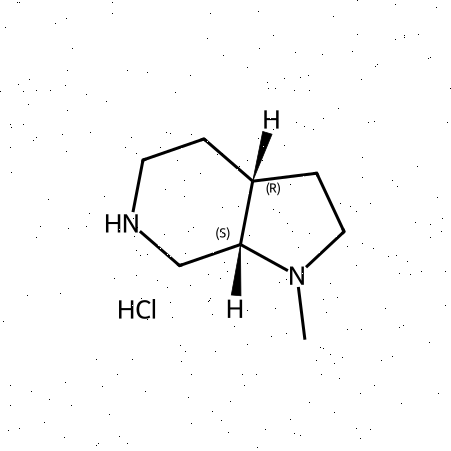 CN1CC[C@H]2CCNC[C@H]21.Cl